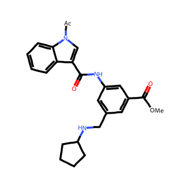 COC(=O)c1cc(CNC2CCCC2)cc(NC(=O)c2cn(C(C)=O)c3ccccc23)c1